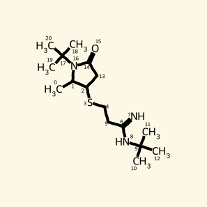 CC1C(SCCC(=N)NC(C)(C)C)CC(=O)N1C(C)(C)C